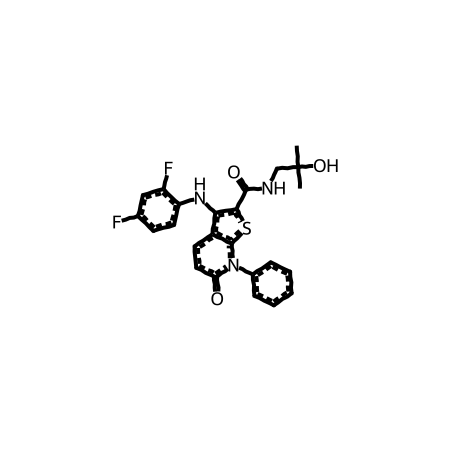 CC(C)(O)CNC(=O)c1sc2c(ccc(=O)n2-c2ccccc2)c1Nc1ccc(F)cc1F